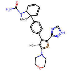 COC1(c2ccc(-c3c(-c4nc[nH]n4)sc(N4CCOCC4)c3C#N)cc2)C=CC=CC1NC(N)=O